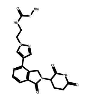 CC(C)(C)OC(=O)NCCn1cc(-c2cccc3c2CN(C2CCC(=O)NC2=O)C3=O)cn1